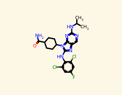 CC(C)Nc1ncc2nc(Nc3c(Cl)cc(F)cc3Cl)n(C3CCC(C(N)=O)CC3)c2n1